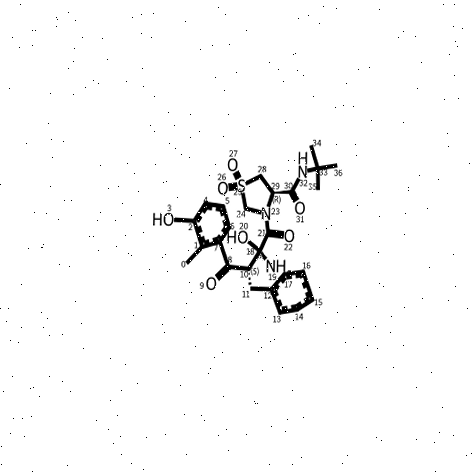 Cc1c(O)cccc1C(=O)[C@@H](Cc1ccccc1)[C@](N)(O)C(=O)N1CS(=O)(=O)C[C@H]1C(=O)NC(C)(C)C